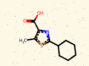 Cc1sc(C2CCCCC2)nc1C(=O)O